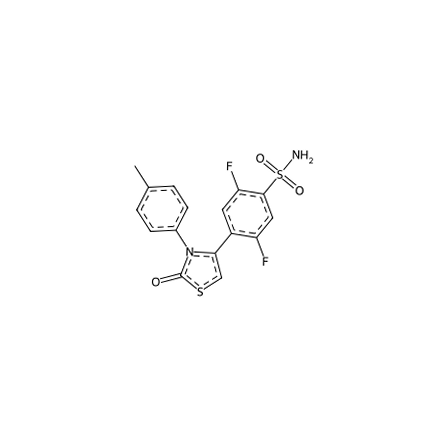 Cc1ccc(-n2c(-c3cc(F)c(S(N)(=O)=O)cc3F)csc2=O)cc1